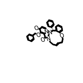 O=C1c2c(OCc3ccccc3)c(=O)ccn2N2CN1CC/C=C/CCOc1ccccc1[C@H]2c1ccccc1